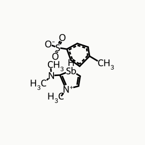 CN(C)[C]1=[N+](C)C=[CH][SbH]1.Cc1ccc(S(=O)(=O)[O-])cc1